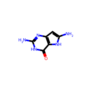 Nc1cc2nc(N)[nH]c(=O)c2[nH]1